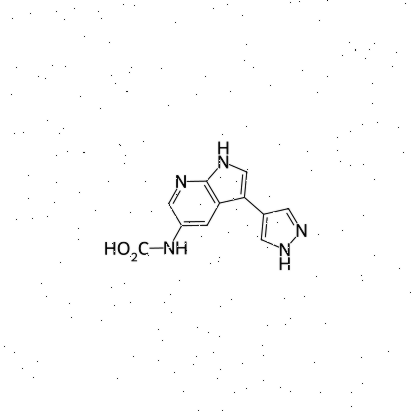 O=C(O)Nc1cnc2[nH]cc(-c3cn[nH]c3)c2c1